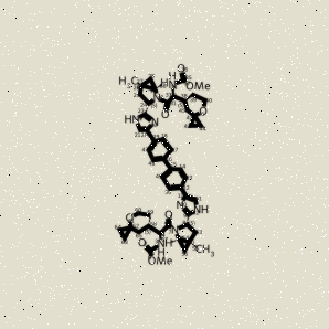 COC(=O)N[C@H](C(=O)N1[C@H](c2nc(-c3ccc(-c4ccc(-c5c[nH]c([C@@H]6C[C@@]7(C)C[C@H]7N6C(=O)[C@@H](NC(=O)OC)[C@H]6CCOC7(CC7)C6)n5)cc4)cc3)c[nH]2)C[C@@]2(C)C[C@@H]12)[C@H]1CCOC2(CC2)C1